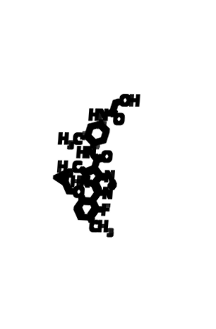 Cc1ccc(OCC2CC2)c(-c2ncnc3c(C(=O)N[C@@H]4CC[C@@H](NC(=O)CO)C[C@H]4C)c(C)[nH]c23)c1F